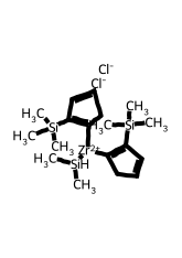 C[SiH](C)[Zr+2]([C]1=C([Si](C)(C)C)C=CC1)[C]1=C([Si](C)(C)C)C=CC1.[Cl-].[Cl-]